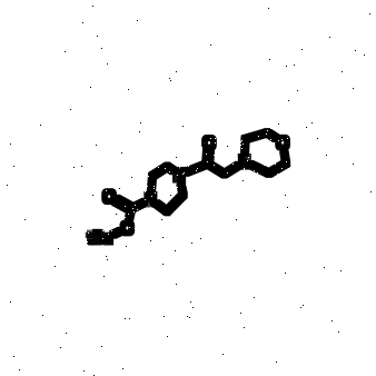 CC(C)(C)OC(=O)N1CCN(C(=O)CN2CCOCC2)CC1